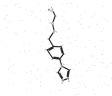 CCOOCc1ccc(-n2cnnc2)cc1